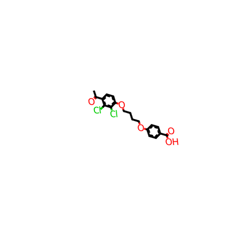 CC(=O)c1ccc(OCCCCOc2ccc(C(=O)O)cc2)c(Cl)c1Cl